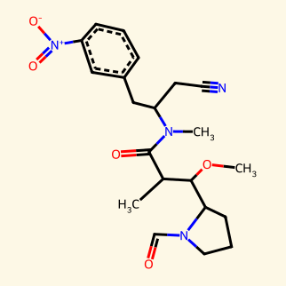 COC(C(C)C(=O)N(C)C(CC#N)Cc1cccc([N+](=O)[O-])c1)C1CCCN1C=O